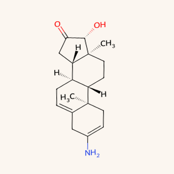 C[C@]12CC[C@H]3[C@@H](CC=C4CC(N)=CC[C@@]43C)[C@@H]1CC(=O)[C@@H]2O